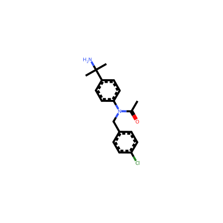 CC(=O)N(Cc1ccc(Cl)cc1)c1ccc(C(C)(C)N)cc1